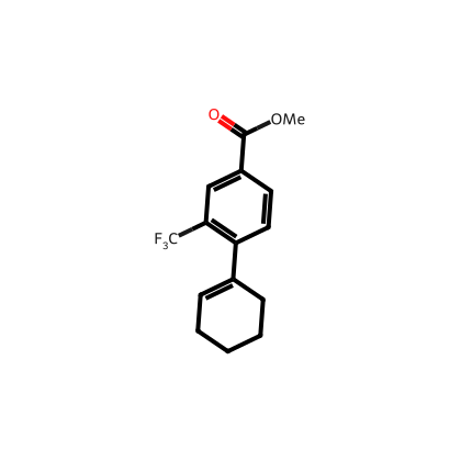 COC(=O)c1ccc(C2=CCCCC2)c(C(F)(F)F)c1